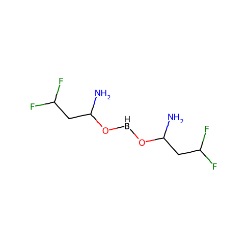 NC(CC(F)F)OBOC(N)CC(F)F